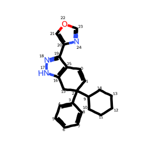 C1=CC(c2ccccc2)(C2CCCCC2)Cc2[nH]nc(-c3cocn3)c21